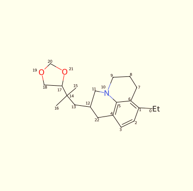 CCc1ccc2c3c1CCCN3CC(CC(C)(C)C1COCO1)C2